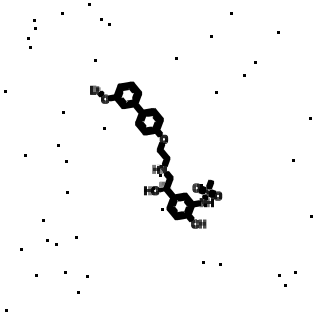 CCOc1cccc(-c2ccc(OCCNC[C@H](O)c3ccc(O)c(NS(C)(=O)=O)c3)cc2)c1